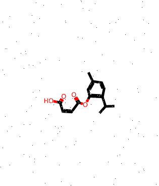 Cc1ccc(C(C)C)c(OC(=O)/C=C\C(=O)O)c1